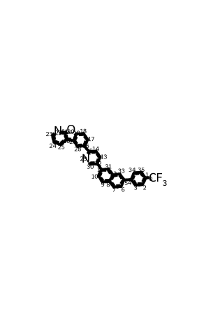 FC(F)(F)c1ccc(-c2ccc3ccc(-c4ccc(-c5ccc6oc7ncccc7c6c5)nc4)cc3c2)cc1